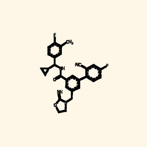 Cc1cc(C(NC(=O)c2cc(CN3CCOC3=N)cc(-c3ccc(F)cc3C#N)c2)C2CC2)ccc1F